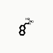 O=[PH](O)CCc1ccc2ccccc2c1